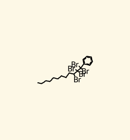 CCCCCCCCCC(Br)C(Br)(Br)C(Br)(Br)c1ccccc1